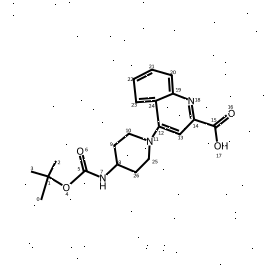 CC(C)(C)OC(=O)NC1CCN(c2cc(C(=O)O)nc3ccccc23)CC1